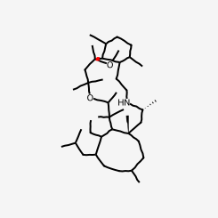 CCC1C(CC(C)C)CCC(C)CC[C@@](C)(C[C@@H](C)NCCC2C(C)CCC(C)C2C)C1C(C)(C)C(C)OC(C)(C)CC(C)OC